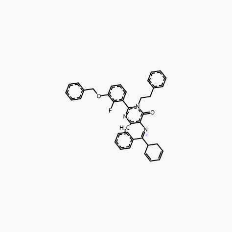 Cc1nc(-c2cccc(OCc3ccccc3)c2F)n(CCc2ccccc2)c(=O)c1/N=C(\c1ccccc1)C1C=CC=CC1